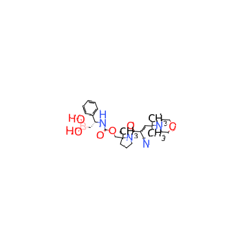 CC(C)(C=C(C#N)C(=O)N1CCC[C@]1(C)COC(=O)N[C@H](CB(O)O)c1ccccc1)N1CCOCC1